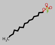 CCCCCCCCCCCCCCCOS(=O)(=O)F